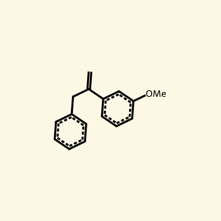 C=C(Cc1ccccc1)c1cccc(OC)c1